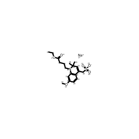 CCOC(=O)CCCN1c2cc(OC)ccc2C(CS(=O)(=O)[O-])=CC1(C)C.[Na+]